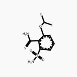 NC(=S)c1c(OC(F)F)cccc1S(N)(=O)=O